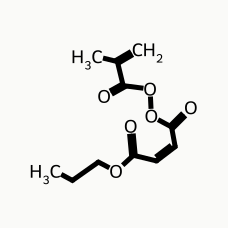 C=C(C)C(=O)OOC(=O)/C=C\C(=O)OCCC